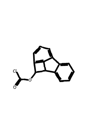 O=C(Cl)OC1c2cccc3c2C1c1ccccc1-3